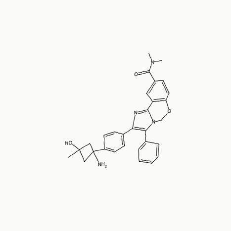 CN(C)C(=O)c1ccc2c(c1)-c1nc(-c3ccc(C4(N)CC(C)(O)C4)cc3)c(-c3ccccc3)n1CO2